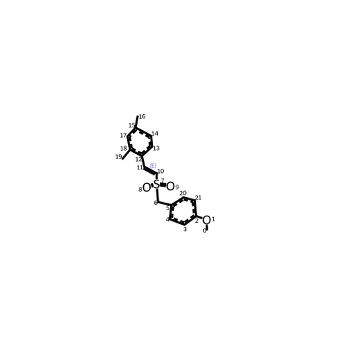 COc1ccc(CS(=O)(=O)/C=C/c2ccc(C)cc2C)cc1